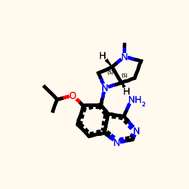 CC(C)Oc1ccc2ncnc(N)c2c1N1C[C@H]2[C@@H]1CCN2C